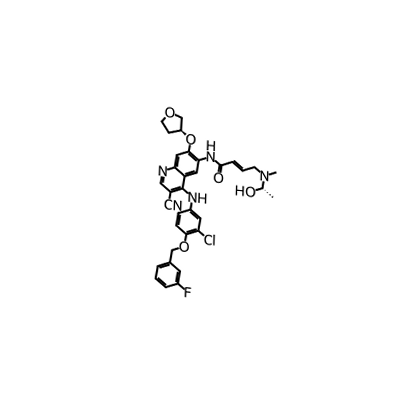 C[C@H](O)N(C)C/C=C/C(=O)Nc1cc2c(Nc3ccc(OCc4cccc(F)c4)c(Cl)c3)c(C#N)cnc2cc1O[C@H]1CCOC1